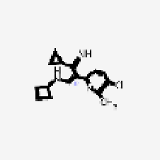 Cc1nc(/C(=C/NC2CCC2)C(=N)C2CC2)ccc1Cl